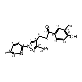 Cc1ccc(-n2cc(CCC(=O)c3ccc(O)c(C)c3)c(C(C)C)n2)nc1